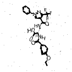 CCOc1ccc(C(=O)N[C@@H](CNC(=O)c2cn(-c3ccccc3)nc2C(F)(F)F)C(=O)O)cc1